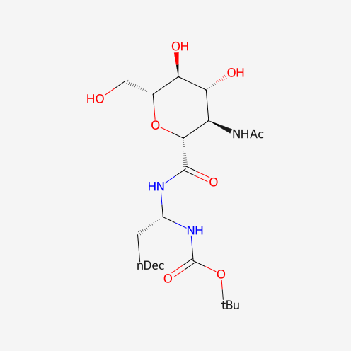 CCCCCCCCCCC[C@@H](NC(=O)OC(C)(C)C)NC(=O)[C@@H]1O[C@H](CO)[C@@H](O)[C@H](O)[C@H]1NC(C)=O